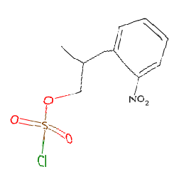 CC(COS(=O)(=O)Cl)c1ccccc1[N+](=O)[O-]